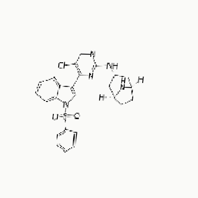 O=S(=O)(c1ccccc1)n1cc(-c2nc(N[C@@H]3C[C@H]4CC[C@@H](C3)N4)ncc2Cl)c2ccccc21